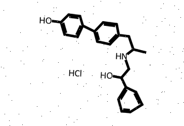 CC(Cc1ccc(-c2ccc(O)cc2)cc1)NCC(O)c1ccccc1.Cl